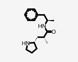 C[C@H](Cc1ccccc1)NC(=O)[C@H](C)C[C@@H]1CCCN1